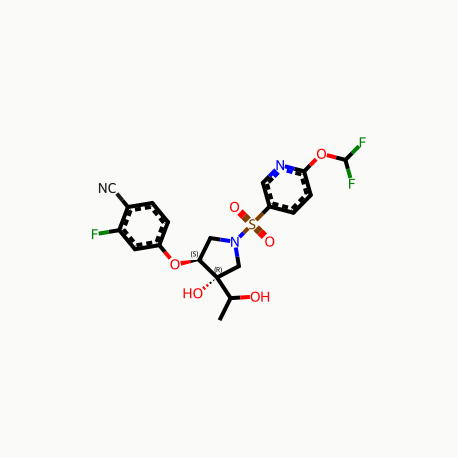 CC(O)[C@]1(O)CN(S(=O)(=O)c2ccc(OC(F)F)nc2)C[C@@H]1Oc1ccc(C#N)c(F)c1